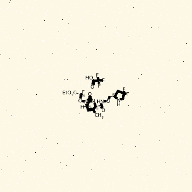 CCOC(=O)[C@H](F)ON1C(=O)N2C[C@H]1C=C(C)[C@H]2C(=O)NOC[C@@H]1CC(F)(F)CN1.O=C(O)C(F)(F)F